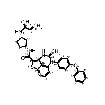 C=CC(=C)N[C@H]1CC[C@@H](NC(=O)c2sc3nccc4c3c2[nH]c(=C)n4-c2ccc(Oc3ccccc3)cc2)C1